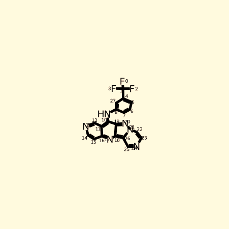 FC(F)(F)c1cccc(Nc2c3cnccc3nc3c2nn2ccncc32)c1